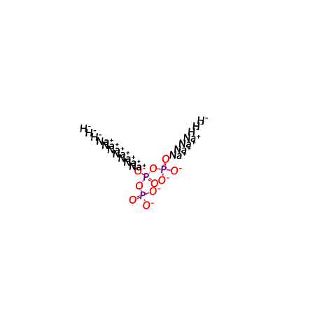 O=P([O-])([O-])OP(=O)([O-])OP(=O)([O-])[O-].[H-].[H-].[H-].[H-].[H-].[H-].[Na+].[Na+].[Na+].[Na+].[Na+].[Na+].[Na+].[Na+].[Na+].[Na+].[Na+]